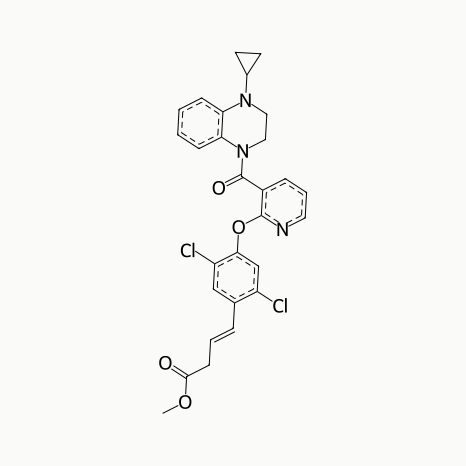 COC(=O)CC=Cc1cc(Cl)c(Oc2ncccc2C(=O)N2CCN(C3CC3)c3ccccc32)cc1Cl